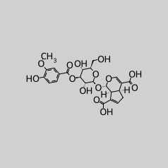 COc1cc(C(=O)O[C@@H]2[C@@H](O)[C@H](O[C@@H]3OC=C(C(=O)O)[C@H]4CC=C(C(=O)O)[C@@H]34)O[C@H](CO)[C@H]2O)ccc1O